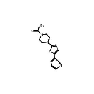 CC(C)(C)C(=O)N1CCN(c2ncc(-c3cccnc3)o2)CC1